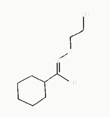 CCCON=C(C)C1CCCCC1